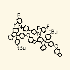 CC(C)(C)c1ccc(C2(c3ccc(Oc4ccc5c(c4)CC5)cc3)C3=C(C=CCC3)c3ccc(N(c4ccc(-c5ccc(N(c6ccc7c(c6)C(c6ccc(Oc8ccc9c(c8)CC9)cc6)(c6ccc(C(C)(C)C)cc6)c6ccccc6-7)c6ccc(F)cc6F)cc5)cc4)c4ccc(F)cc4F)cc32)cc1